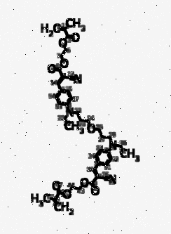 C=C(C)C(=O)OCCOC(=O)/C(C#N)=C/c1ccc(N(CC)CCCOCCCN(CC)c2ccc(/C=C(\C#N)C(=O)OCCOC(=O)C(=C)C)cc2)cc1